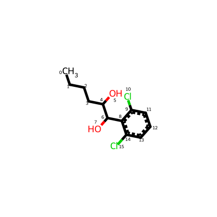 CCCCC(O)C(O)c1c(Cl)cccc1Cl